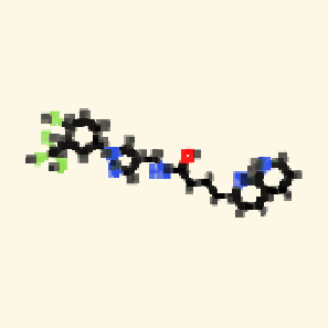 O=C(CCCc1ccc2cccnc2n1)NCc1cnn(-c2ccc(F)c(C(F)(F)F)c2)c1